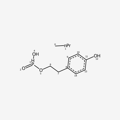 CCCC.O=[PH](O)OCCc1ccc(O)cc1